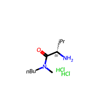 CCCCN(C)C(=O)[C@@H](N)C(C)C.Cl.Cl